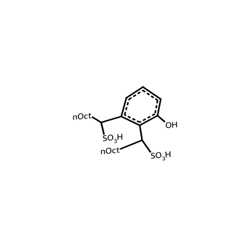 CCCCCCCCC(c1cccc(O)c1C(CCCCCCCC)S(=O)(=O)O)S(=O)(=O)O